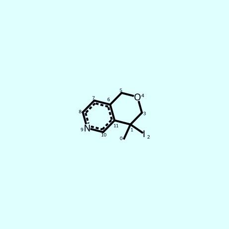 CC1(I)COCc2ccncc21